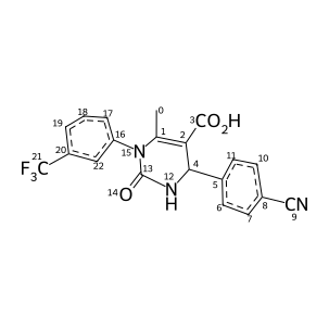 CC1=C(C(=O)O)C(c2ccc(C#N)cc2)NC(=O)N1c1cccc(C(F)(F)F)c1